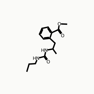 CCCNC(=O)NC(C)Cc1ccccc1C(=O)OC